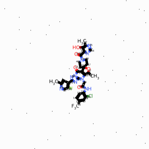 Cc1cc(-c2nc3n(CC(=O)Nc4ccc(C(F)(F)F)cc4Cl)c4c(c(=O)n3n2)C2(CCN(C(=O)c3ncnc(C)c3O)CC2)OC4C)c(F)cn1